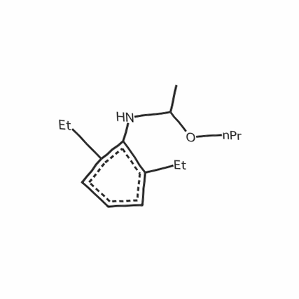 CCCOC(C)Nc1c(CC)cccc1CC